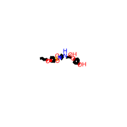 CCCCOc1ccc(S(=O)(=O)N2CC(NC[C@@H](O)COc3ccc(O)cc3)C2)cc1